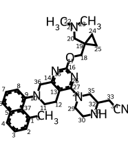 Cc1cccc2cccc(N3CCc4c(nc(OCC5(CN(C)C)CC5)nc4N4CCNC(CC#N)C4)C3)c12